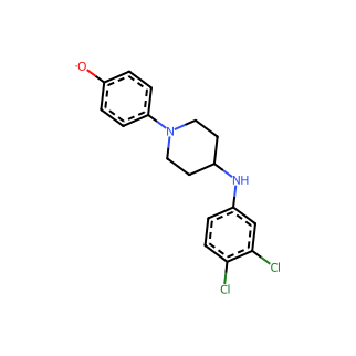 [O]c1ccc(N2CCC(Nc3ccc(Cl)c(Cl)c3)CC2)cc1